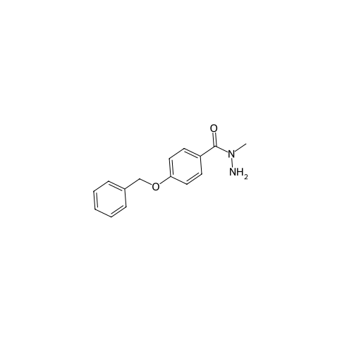 CN(N)C(=O)c1ccc(OCc2ccccc2)cc1